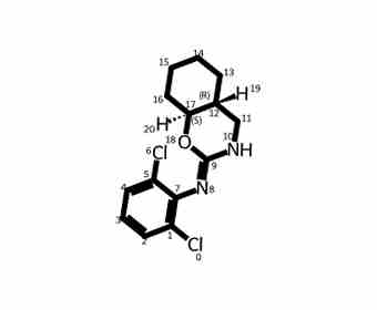 Clc1cccc(Cl)c1N=C1NC[C@H]2CCCC[C@@H]2O1